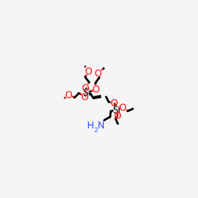 C=C[Si](OCCOC)(OCCOC)OCCOC.CCO[Si](CCCN)(OCC)OCC